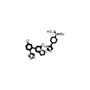 CC(C)(C)N(C(=O)O)C1CCC(c2cnc([C@@H]3CCc4cc(-c5cc(Cl)ccc5-n5cnnn5)cc(=O)n43)[nH]2)CC1